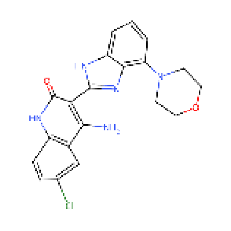 Nc1c(-c2nc3c(N4CCOCC4)cccc3[nH]2)c(=O)[nH]c2ccc(Cl)cc12